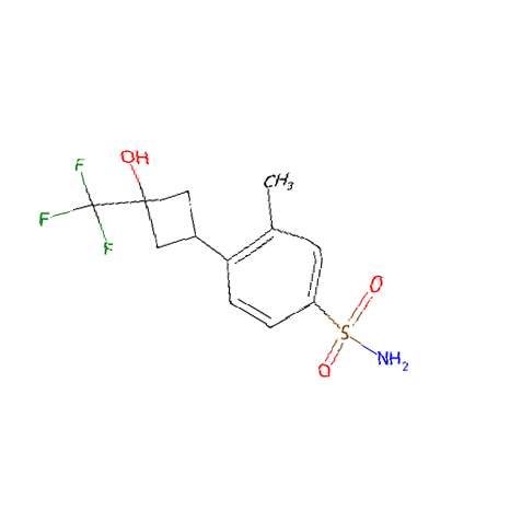 Cc1cc(S(N)(=O)=O)ccc1C1CC(O)(C(F)(F)F)C1